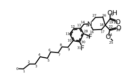 CCCCCCCCCCc1ccc(CN2CCC(C(=O)O)(C(=O)OC)CC2)c(F)c1F